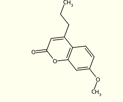 CCCc1cc(=O)oc2cc(OC)ccc12